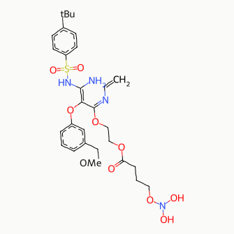 C=C/N=C(OCCOC(=O)CCCON(O)O)\C(Oc1cccc(COC)c1)=C(/N)NS(=O)(=O)c1ccc(C(C)(C)C)cc1